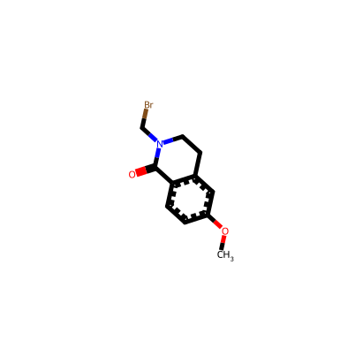 COc1ccc2c(c1)CCN(CBr)C2=O